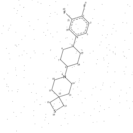 Fc1ccc(C2CCC(N3CCC4(CC3)CSC4)CC2)cc1F